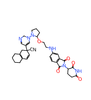 N#CC1(C2=CN(N3CCCC3OCCNc3ccc4c(c3)C(=O)N(C3CCC(=O)NC3=O)C4=O)CN=C2)C=CC2=C(CCCC2)C1